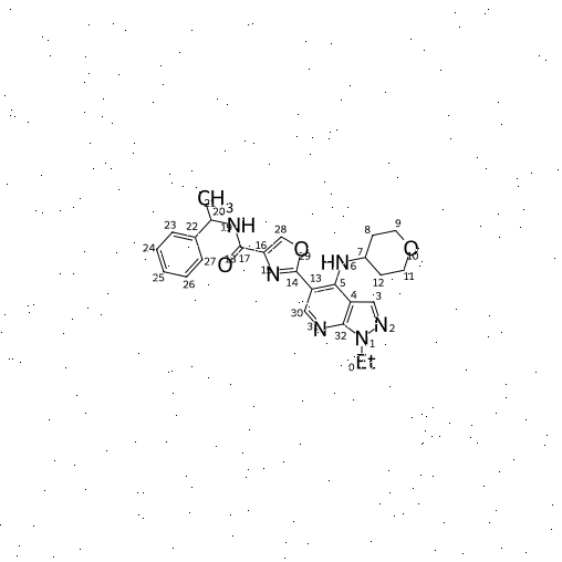 CCn1ncc2c(NC3CCOCC3)c(-c3nc(C(=O)NC(C)c4ccccc4)co3)cnc21